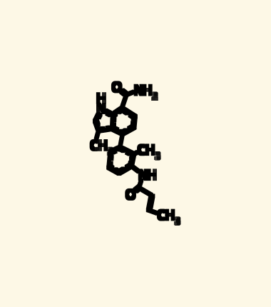 CC=CC(=O)Nc1cccc(-c2ccc(C(N)=O)c3[nH]cc(C)c23)c1C